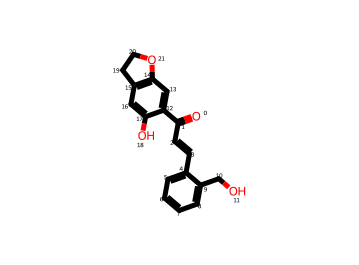 O=C(/C=C/c1ccccc1CO)c1cc2c(cc1O)CCO2